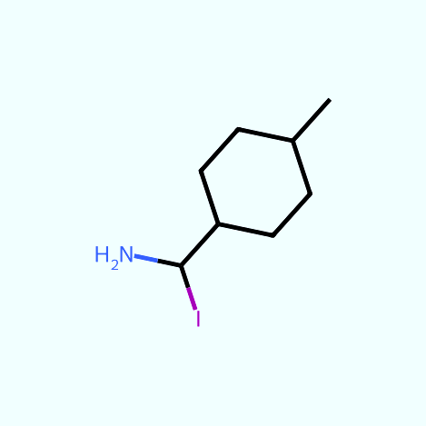 CC1CCC(C(N)I)CC1